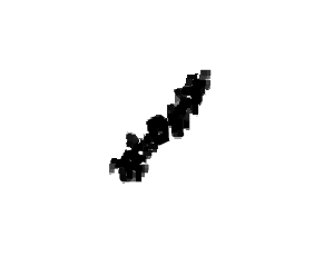 O=C(NC[C@]12CC[C@](c3nc(-c4ncc(C(F)(F)F)cn4)no3)(CC1)CC2)c1cc(F)c(O)c(F)c1F